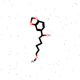 CC(C)OCCCCCC(O)c1ccc2c(c1)OCO2